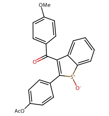 COc1ccc(C(=O)c2c(-c3ccc(OC(C)=O)cc3)[s+]([O-])c3ccccc23)cc1